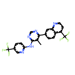 Cc1c(Nc2ccc(C(F)(F)F)cn2)ncnc1-c1ccc2c(C(F)(F)F)ccnc2c1